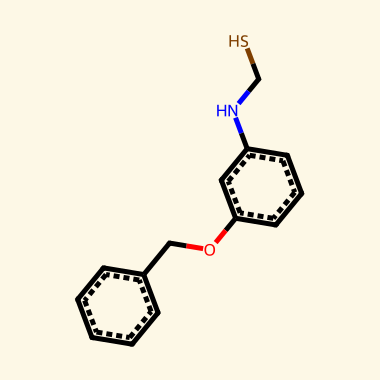 SCNc1cccc(OCc2ccccc2)c1